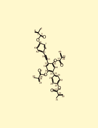 C=C(C)C(=O)Oc1ccc(C#Cc2cc(OC(=O)C(=C)C)c(-c3ccc(OC(=O)C(=C)C)cc3)cc2OC(=O)C(=C)C)cc1